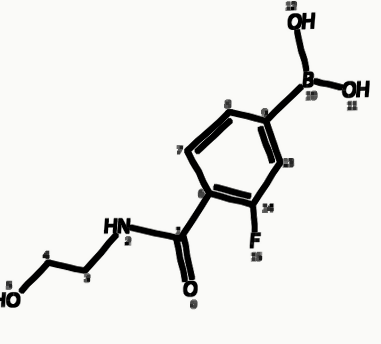 O=C(NCCO)c1ccc(B(O)O)cc1F